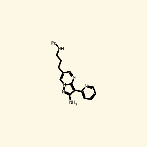 CC(C)NCCCc1cnc2c(-c3ccccn3)c(N)nn2c1